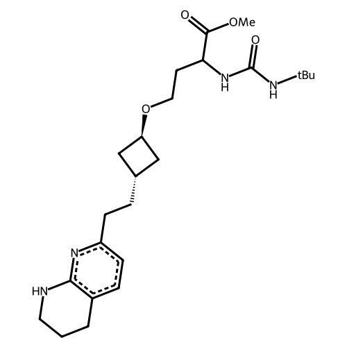 COC(=O)C(CCO[C@H]1C[C@H](CCc2ccc3c(n2)NCCC3)C1)NC(=O)NC(C)(C)C